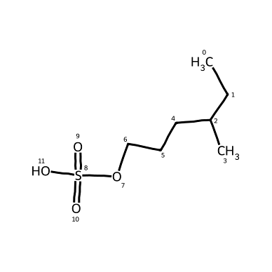 CCC(C)CCCOS(=O)(=O)O